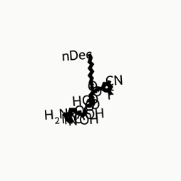 CCCCCCCCCCCCCCCCCCOC[C@H](COP(=O)(O)OC[C@H]1O[C@@](C#N)(c2ccc3c(N)ncnn23)[C@H](O)[C@@H]1O)OCc1cc(F)cc(C#N)c1